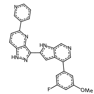 COc1cc(F)cc(-c2cncc3[nH]c(-c4n[nH]c5ccc(-c6cccnc6)nc45)cc23)c1